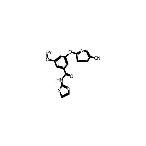 CC(C)Oc1cc(Oc2ccc(C#N)cn2)cc(C(=O)Nc2nccs2)c1